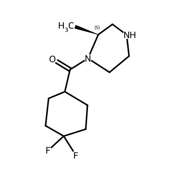 C[C@H]1CNCCN1C(=O)C1CCC(F)(F)CC1